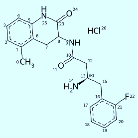 Cc1cccc2c1CC(NC(=O)C[C@H](N)Cc1ccccc1F)C(=O)N2.Cl